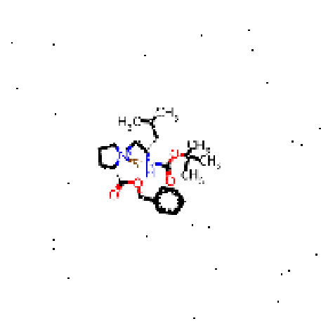 CC(C)C[C@@H](C[N+]1([S-])CCC[C@H]1C(=O)OCc1ccccc1)NC(=O)OC(C)(C)C